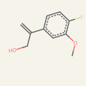 C=C(CO)c1ccc(F)c(OC)c1